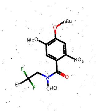 CCCCOc1cc([N+](=O)[O-])c(C(=O)N(C=O)CC(F)(F)CC)cc1OC